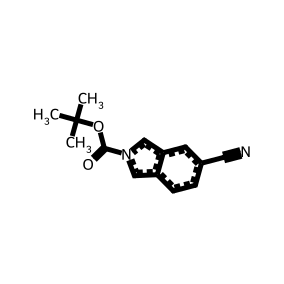 CC(C)(C)OC(=O)n1cc2ccc(C#N)cc2c1